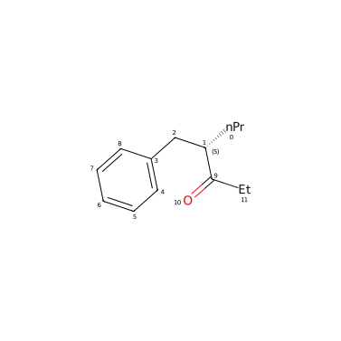 CCC[C@@H](Cc1ccccc1)C(=O)CC